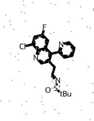 CC(C)(C)[S+]([O-])/N=C/Cc1cnc2c(Cl)cc(F)cc2c1-c1ccccn1